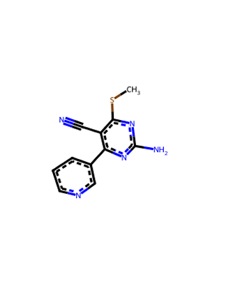 CSc1nc(N)nc(-c2cccnc2)c1C#N